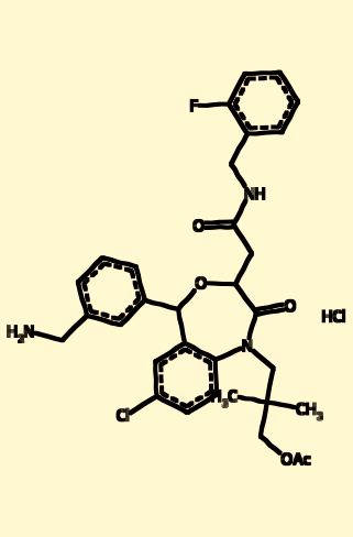 CC(=O)OCC(C)(C)CN1C(=O)C(CC(=O)NCc2ccccc2F)OC(c2cccc(CN)c2)c2cc(Cl)ccc21.Cl